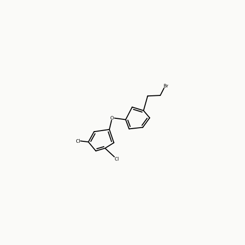 Clc1cc(Cl)cc(Oc2cccc(CCBr)c2)c1